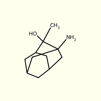 CC1(O)C2CC3CC(C2)CC1(N)C3